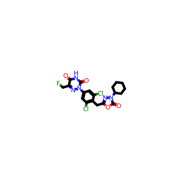 O=c1[nH]c(=O)n(-c2cc(Cl)c(Cc3nn(C4CCCCC4)c(=O)o3)c(Cl)c2)nc1CF